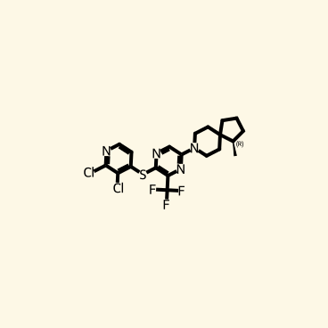 C[C@@H]1CCCC12CCN(c1cnc(Sc3ccnc(Cl)c3Cl)c(C(F)(F)F)n1)CC2